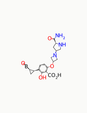 NC(=O)[C@@H]1C[C@H](N2CC(Oc3ccc([C@H]4C[C@H]4B=O)c(O)c3C(=O)O)C2)CN1